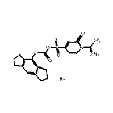 CC(C)n1ccc(S(=O)(=O)NC(=O)Nc2c3c(cc4c2CCC4)CCC3)cc1=O.[Na]